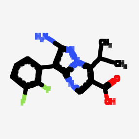 CC(C)c1c(C(=O)O)cnc2c(-c3cccc(F)c3F)c(N)nn12